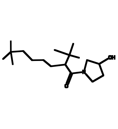 CC(C)(C)CCCCC(C(=O)N1CCC(O)C1)C(C)(C)C